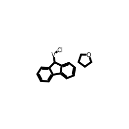 C1CCOC1.[Cl][V][CH]1c2ccccc2-c2ccccc21